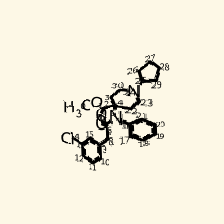 COC(=O)C1(N(C(=O)Cc2cccc(Cl)c2)c2ccccc2)CCN(C2CCCC2)CC1